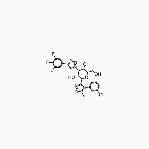 Cc1nnc([C@@H]2O[C@H](CO)[C@H](O)[C@H](n3cc(-c4cc(F)c(F)c(F)c4)nn3)[C@H]2O)n1-c1cccc(Cl)c1